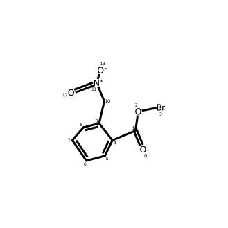 O=C(OBr)c1ccccc1C[N+](=O)[O-]